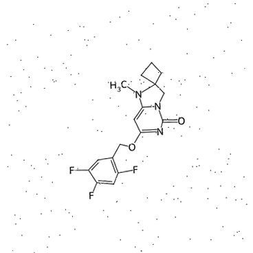 CN1c2cc(OCc3cc(F)c(F)cc3F)nc(=O)n2CC12CCC2